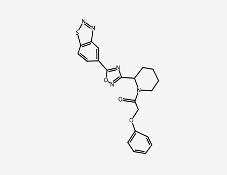 O=C(COc1ccccc1)N1CCCCC1c1noc(-c2ccc3snnc3c2)n1